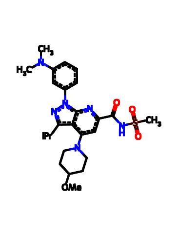 COC1CCN(c2cc(C(=O)NS(C)(=O)=O)nc3c2c(C(C)C)nn3-c2cccc(N(C)C)c2)CC1